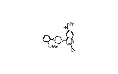 CCCN(C)c1ccc2nc(C3CC3)nc(N3CCN(c4ccccc4OC)CC3)c2c1